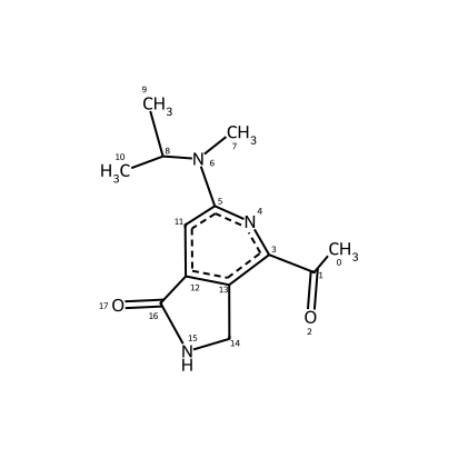 CC(=O)c1nc(N(C)C(C)C)cc2c1CNC2=O